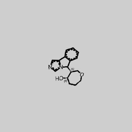 O[C@@H]1CCCOC[C@@H]1C1c2ccccc2-c2cncn21